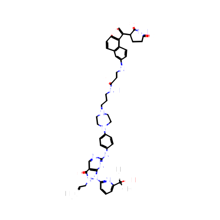 C=CCn1c(=O)c2cnc(Nc3ccc(N4CCN(CCCNC(=O)CCNc5ccc6c(ccc7occ(C8CCC(=O)NC8=O)c76)c5)CC4)cc3)nc2n1-c1cccc(C(C)(C)O)n1